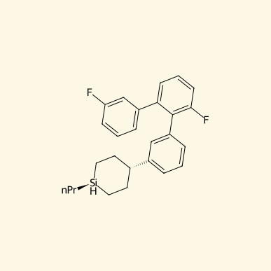 CCC[Si@H]1CC[C@H](c2cccc(-c3c(F)cccc3-c3cccc(F)c3)c2)CC1